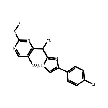 CCOC(=O)c1cnc(SCC)nc1C(C#N)c1nc(-c2ccc(Cl)cc2)cs1